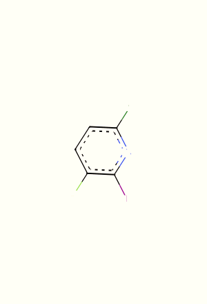 Fc1ccc(Cl)nc1I